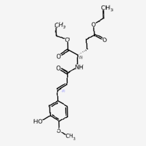 CCOC(=O)CC[C@H](NC(=O)/C=C/c1ccc(OC)c(O)c1)C(=O)OCC